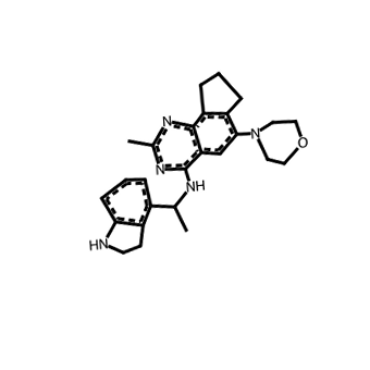 Cc1nc(NC(C)c2cccc3c2CCN3)c2cc(N3CCOCC3)c3c(c2n1)CCC3